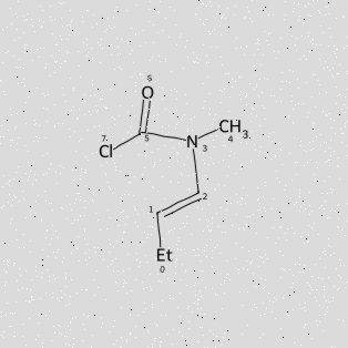 CCC=CN(C)C(=O)Cl